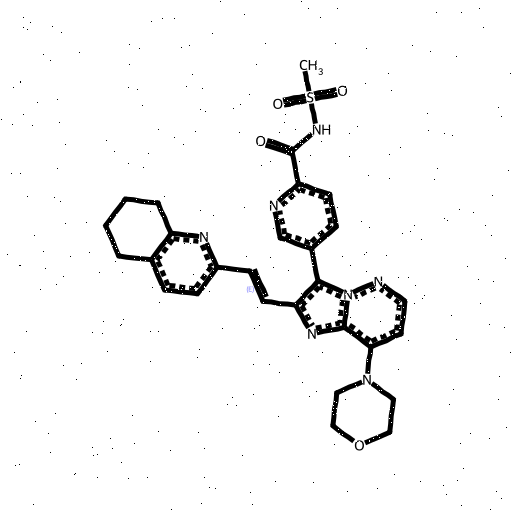 CS(=O)(=O)NC(=O)c1ccc(-c2c(/C=C/c3ccc4c(n3)CCCC4)nc3c(N4CCOCC4)ccnn23)cn1